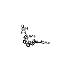 COc1nc(-c2cccc(-c3cccc(-c4ccc5c(CNC[C@H](C)OC)cn(C)c5n4)c3Cl)c2Cl)ccc1CNC[C@@H]1CCC(=O)N1